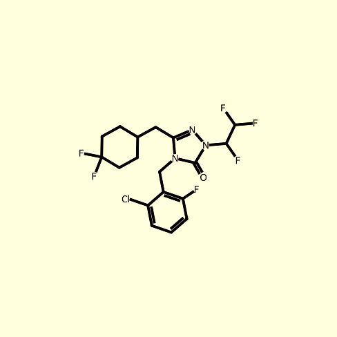 O=c1n(C(F)C(F)F)nc(CC2CCC(F)(F)CC2)n1Cc1c(F)cccc1Cl